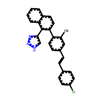 N#Cc1cc(C=Cc2ccc(Cl)cc2)ccc1-c1ccc2ccccc2c1-c1c[nH]nn1